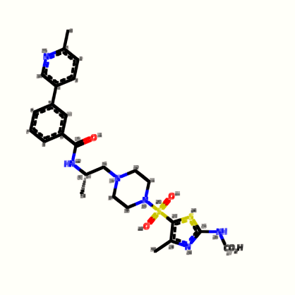 Cc1ccc(-c2cccc(C(=O)N[C@@H](C)CN3CCN(S(=O)(=O)c4sc(NC(=O)O)nc4C)CC3)c2)cn1